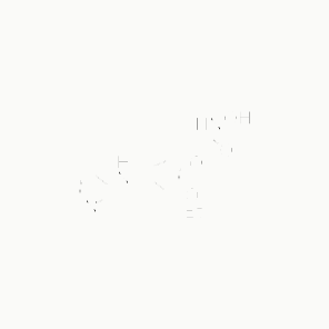 CCOc1cc(CNc2cccnc2)ccc1OCC(=O)NO